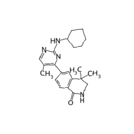 Cc1cnc(NC2CCCCC2)nc1-c1ccc2c(c1)C(C)(C)CNC2=O